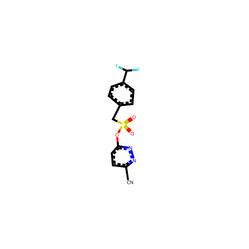 N#Cc1ccc(OS(=O)(=O)Cc2ccc(C(F)F)cc2)nn1